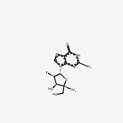 C[C@]1(CO)O[C@@H](n2cnc3c(=O)[nH]c(N)nc32)[C@H](F)[C@@H]1O